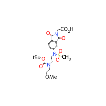 COCCN(CCN(c1ccc2c(c1)C(=O)N(CC(=O)O)C2=O)S(C)(=O)=O)C(=O)OC(C)(C)C